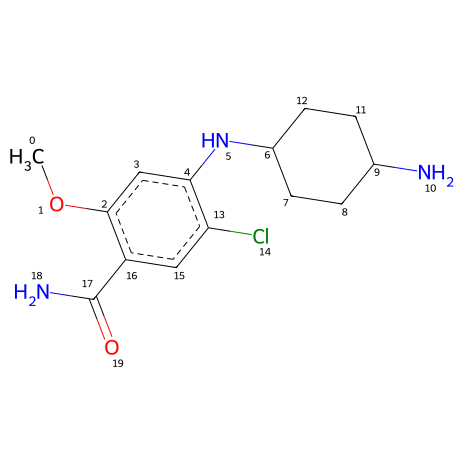 COc1cc(NC2CCC(N)CC2)c(Cl)cc1C(N)=O